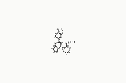 Nc1ncc(-c2nc(N3CCOCC3CC=O)c3sccc3n2)cn1